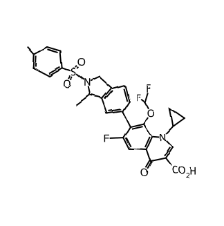 Cc1ccc(S(=O)(=O)N2Cc3ccc(-c4c(F)cc5c(=O)c(C(=O)O)cn(C6CC6)c5c4OC(F)F)cc3C2C)cc1